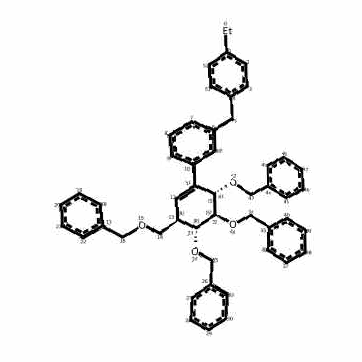 CCc1ccc(Cc2cccc(C3=C[C@H](COCc4ccccc4)[C@@H](OCc4ccccc4)[C@H](OCc4ccccc4)[C@H]3OCc3ccccc3)c2)cc1